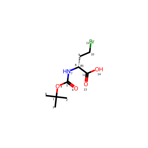 CC(C)(C)OC(=O)N[C@H](CCBr)C(=O)O